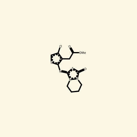 COC(=O)Cc1c(Cl)csc1N=c1sc(=O)n2n1CCCC2